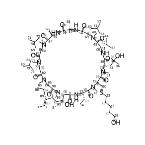 C/C=C/C[C@@H](C)[C@@H](O)[C@H]1C(=O)N[C@@H](CC)C(=O)N(C)[C@H](CSCCCCCO)C(=O)N(C)[C@@H](CC(C)(C)O)C(=O)N[C@@H](C(C)C)C(=O)N(C)[C@@H](CC(C)C)C(=O)N[C@@H](C)C(=O)N[C@H](C)C(=O)N(C)[C@@H](CC(C)C)C(=O)N(C)[C@@H](CC(C)C)C(=O)N(C)[C@@H](C(C)C)C(=O)N1C